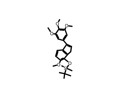 COc1cc(C2=CCc3c2ccc(OC)c3O[Si](C)(C)C(C)(C)C)cc(OC)c1OC